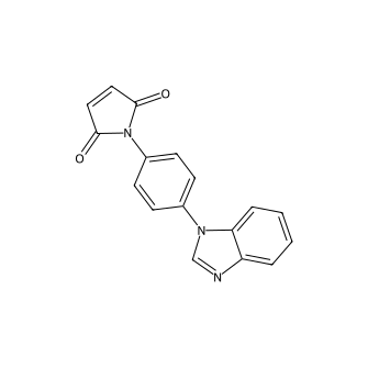 O=C1C=CC(=O)N1c1ccc(-n2cnc3ccccc32)cc1